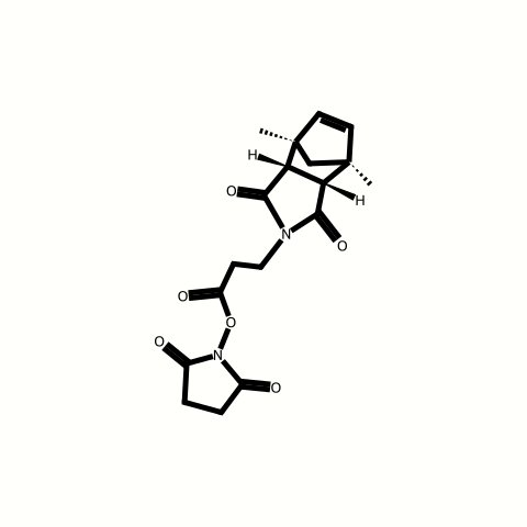 C[C@]12C=C[C@](C)(C1)[C@@H]1C(=O)N(CCC(=O)ON3C(=O)CCC3=O)C(=O)[C@@H]12